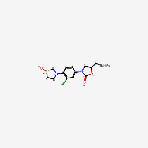 CC(=O)NCC1CN(c2ccc(N3CC[S+]([O-])C3)c(F)c2)C(=O)O1